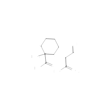 CC(=O)C1(O)CCCCC1.CCCC(=O)O